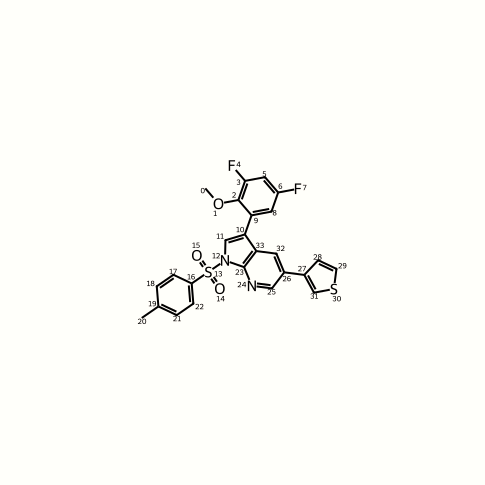 COc1c(F)cc(F)cc1-c1cn(S(=O)(=O)c2ccc(C)cc2)c2ncc(-c3ccsc3)cc12